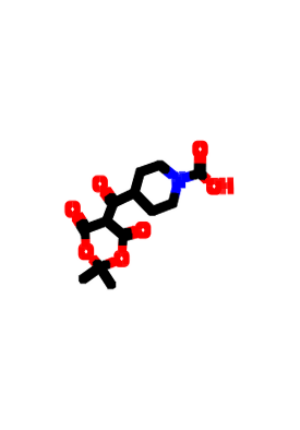 CC1(C)OC(=O)C(C(=O)C2CCN(C(=O)O)CC2)C(=O)O1